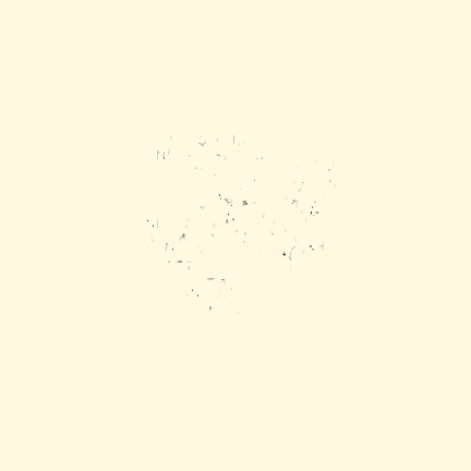 NC(=O)n1c(O)c(-c2nc3ccccc3o2)c2cc(N(c3ccc4[nH]c(O)c(-c5nc6ccccc6o5)c4c3)S(=O)(=O)c3ccccc3)ccc21.O=S(=O)(O)c1cccnc1